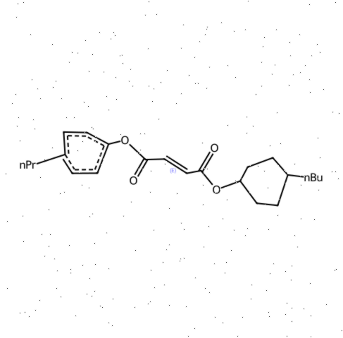 CCCCC1CCC(OC(=O)/C=C/C(=O)Oc2ccc(CCC)cc2)CC1